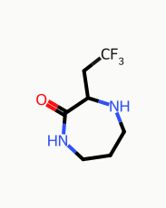 O=C1NCCCNC1CC(F)(F)F